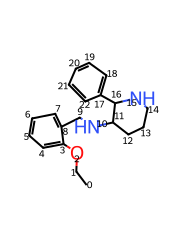 CCOc1ccccc1CNC1CCCNC1c1ccccc1